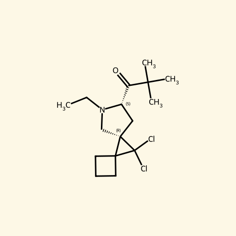 CCN1C[C@]2(C[C@H]1C(=O)C(C)(C)C)C(Cl)(Cl)C21CCC1